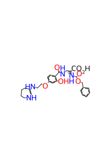 O=C(N[C@@H](CNC(=O)c1ccc(OCCNC2=CNCCCC2)cc1O)C(=O)O)OCc1ccccc1